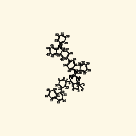 CC1(C)C=Cc2c(-c3cccc(-c4cccc5ccccc45)c3)nc(-n3c4ccccc4c4cc(-c5ccc6c(c5)c5ccccc5n6-c5ccccc5)ccc43)nc21